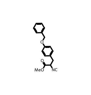 [C-]#[N+]C(Cc1ccc(OCc2ccccc2)cc1)C(=O)OC